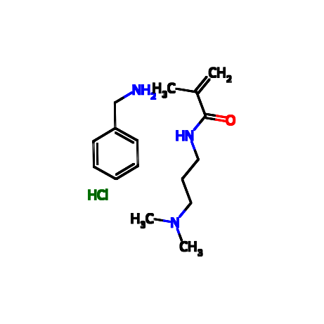 C=C(C)C(=O)NCCCN(C)C.Cl.NCc1ccccc1